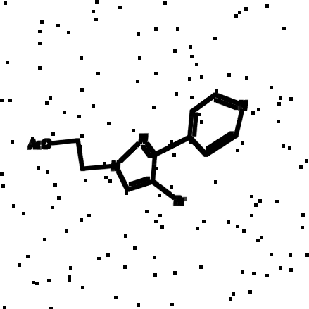 CC(=O)OCCn1cc(Br)c(-c2ccncc2)n1